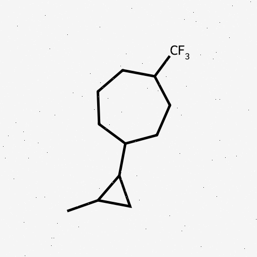 CC1CC1C1CCCC(C(F)(F)F)CC1